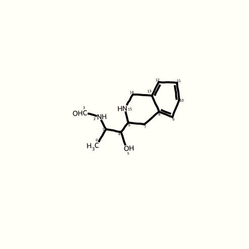 CC(NC=O)C(O)C1Cc2ccccc2CN1